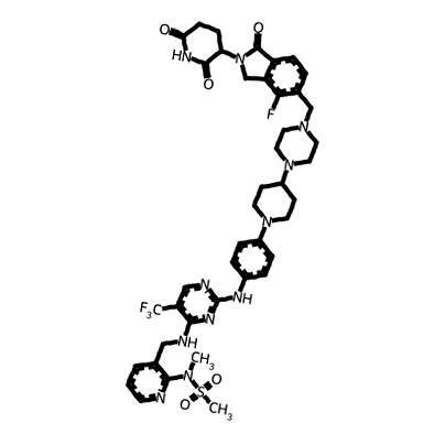 CN(c1ncccc1CNc1nc(Nc2ccc(N3CCC(N4CCN(Cc5ccc6c(c5F)CN(C5CCC(=O)NC5=O)C6=O)CC4)CC3)cc2)ncc1C(F)(F)F)S(C)(=O)=O